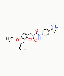 CCCc1c(OCC)ccc2cc(C(=O)Nc3ccc(C4(N)CC4)cc3)c(=O)oc12